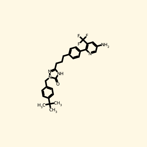 CC(C)(C)c1ccc(Cn2nc(CCCc3ccc(-c4ncc(N)cc4C(F)(F)F)cc3)[nH]c2=O)cc1